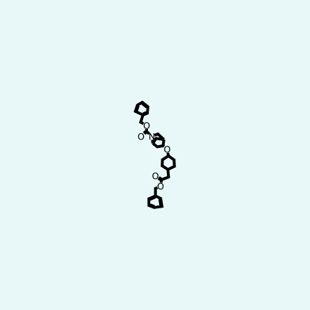 O=C(CC1CCC(OC2CC3CC2CN3C(=O)OCc2ccccc2)CC1)OCc1ccccc1